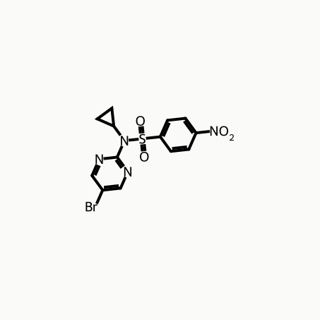 O=[N+]([O-])c1ccc(S(=O)(=O)N(c2ncc(Br)cn2)C2CC2)cc1